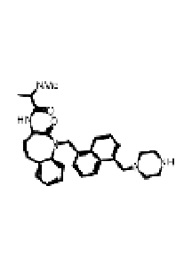 CNC(C)C(=O)NC1CCc2ccccc2N(Cc2cccc3c(CN4CCNCC4)cccc23)C1=O